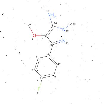 COc1c(-c2ccc(F)cc2)nn(C)c1N